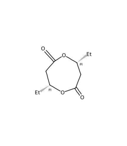 CC[C@@H]1CC(=O)O[C@H](CC)CC(=O)O1